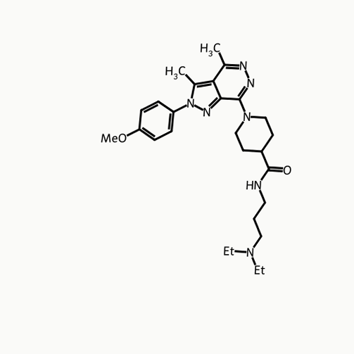 CCN(CC)CCCNC(=O)C1CCN(c2nnc(C)c3c(C)n(-c4ccc(OC)cc4)nc23)CC1